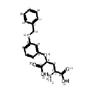 N[C@@H](CC(Oc1cccc(SCc2ccccc2)c1)C(=O)O)C(=O)O